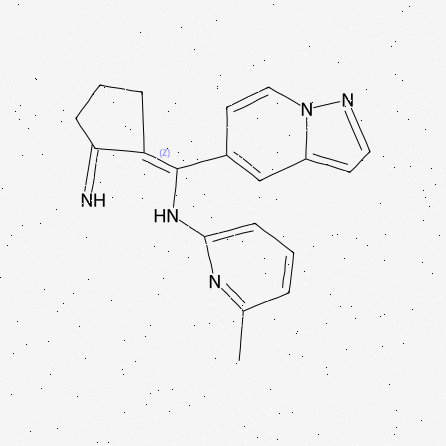 Cc1cccc(N/C(=C2/CCCC2=N)c2ccn3nccc3c2)n1